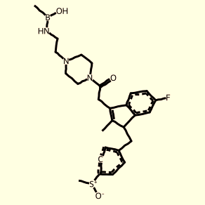 CB(O)NCCN1CCN(C(=O)CC2=C(C)C(Cc3ccc([S+](C)[O-])cc3)c3cc(F)ccc32)CC1